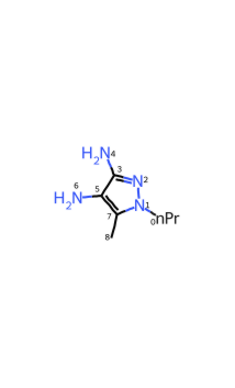 CCCn1nc(N)c(N)c1C